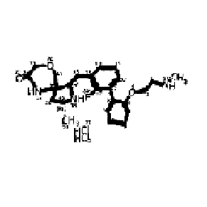 CNCCOc1ccccc1-c1cccc(CC2N[C@H](C)CC23COCC(=O)N3)c1F.Cl.Cl